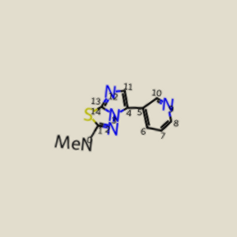 CNc1nn2c(-c3cccnc3)cnc2s1